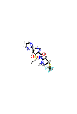 CCS(=O)(=O)c1cc(-c2ncccn2)cnc1C(=O)/N=c1\ccc(SC(F)(F)F)cn1C